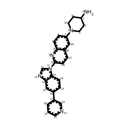 NC1CCN(c2ccc3nc(-n4cnc5cc(-c6cccnc6)ccc54)ccc3c2)CC1